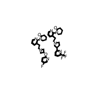 O=C1CCCCN1c1ncccc1CCN1CC(Oc2ccc(F)cn2)C1.O=C1CCCCN1c1ncccc1CCN1CCC(c2cccc(C(F)(F)F)n2)C1